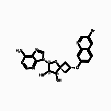 Nc1ncnc2c1ncn2[C@@H]1O[C@]2(C[C@@H](Oc3ccc4cc(Br)cnc4c3)C2)[C@@H](O)[C@H]1O